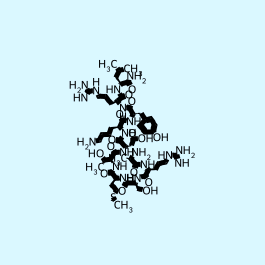 CSCC[C@H](NC(=O)[C@H](CO)NC(=O)[C@H](CCCNC(=N)N)NC(=O)[C@H](C)N)C(=O)N[C@H](C(=O)N[C@@H](CC(=O)O)C(=O)N[C@@H](CCCCN)C(=O)N[C@@H](Cc1ccc(O)cc1)C(=O)N[C@@H](CCCNC(=N)N)C(=O)N[C@@H](CC(C)C)C(N)=O)[C@@H](C)O